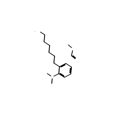 CCCCCCCCCCCCCCCCc1ccccc1N(C)C.CNC=O.Cl